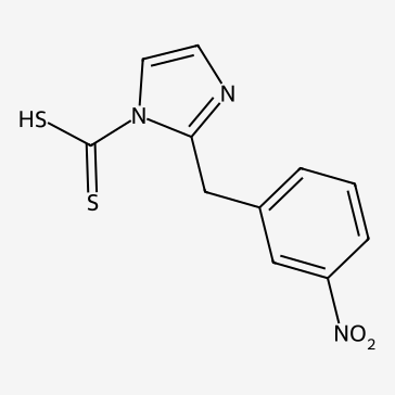 O=[N+]([O-])c1cccc(Cc2nccn2C(=S)S)c1